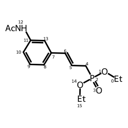 CCOP(=O)(C/C=C/c1cccc(NC(C)=O)c1)OCC